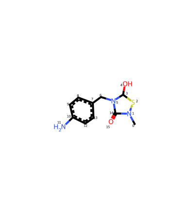 CN1SC(O)N(Cc2ccc(N)cc2)C1=O